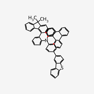 CC1(C)c2ccccc2-c2c(-c3ccccc3N(c3ccc(-c4ccc5sc6ccccc6c5c4)cc3)c3ccccc3-c3ccccc3-c3ccccc3-c3ccccc3)cccc21